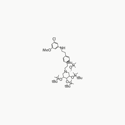 COc1cc(Cl)cc(NCCc2ccc(CCN3CC(O[Si](C)(C)C(C)(C)C)C(O[Si](C)(C)C(C)(C)C)C(O[Si](C)(C)C(C)(C)C)[C@H]3CO[Si](C)(C)C(C)(C)C)cc2)c1